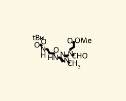 COC(=O)CCN(C=O)c1nc(NC(=O)CCNC(=O)OC(C)(C)C)cn1C